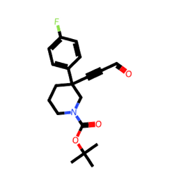 CC(C)(C)OC(=O)N1CCCC(C#CC=O)(c2ccc(F)cc2)C1